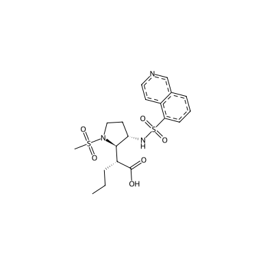 CCC[C@@H](C(=O)O)[C@@H]1[C@@H](NS(=O)(=O)c2cccc3cnccc23)CCN1S(C)(=O)=O